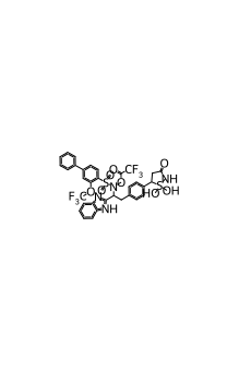 O=C1CC(c2ccc(CC(c3nc4ccccc4[nH]3)N(OC(=O)C(F)(F)F)S(=O)(=O)c3ccc(-c4ccccc4)cc3OC(F)(F)F)cc2)S(O)(O)N1